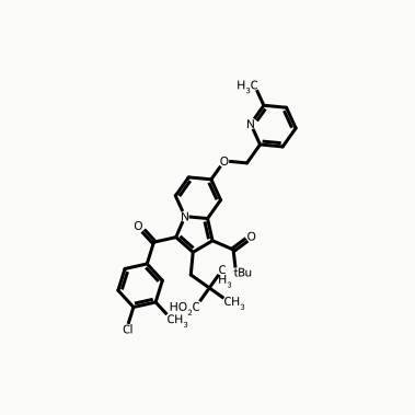 Cc1cccc(COc2ccn3c(C(=O)c4ccc(Cl)c(C)c4)c(CC(C)(C)C(=O)O)c(C(=O)C(C)(C)C)c3c2)n1